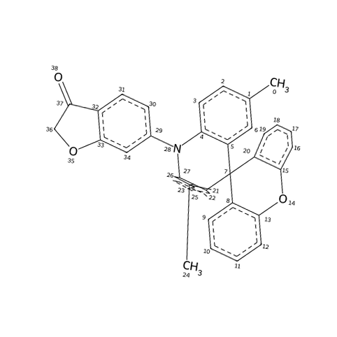 Cc1ccc2c(c1)C1(c3ccccc3Oc3ccccc31)c1cc(C)ccc1N2c1ccc2c(c1)OCC2=O